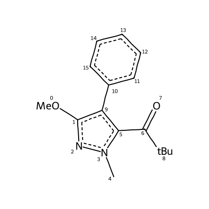 COc1nn(C)c(C(=O)C(C)(C)C)c1-c1ccccc1